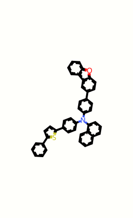 c1ccc(-c2ccc(-c3ccc(N(c4ccc(-c5ccc6oc7ccccc7c6c5)cc4)c4cccc5ccccc45)cc3)s2)cc1